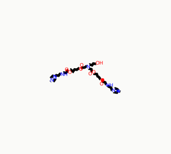 CN1CCN(CCCNCCC(=O)OCCCCCOC(=O)CCN(CCCCO)CCC(=O)OCCCCCOC(=O)CCNCCCN2CCN(C)CC2)CC1